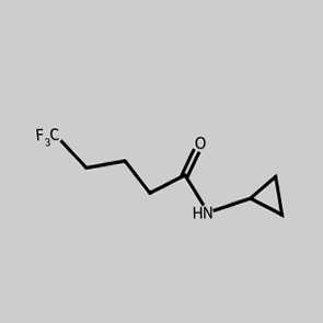 O=C(CCCC(F)(F)F)NC1CC1